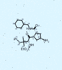 CCOC(=O)N[C@@H](C(=O)N1C[C@H](N)C[C@H]1C(=O)NCC1CCCCC1)C(C)(C)SC(C)C